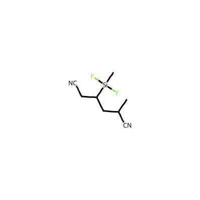 CC(C#N)CC(CC#N)[Si](C)(F)F